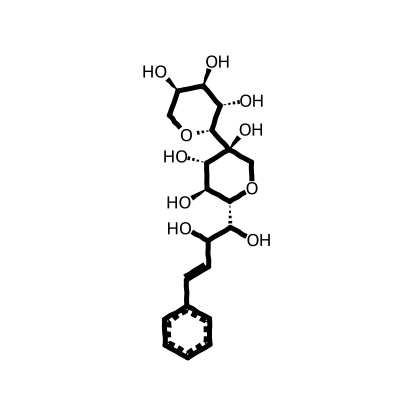 OC(C=Cc1ccccc1)C(O)[C@H]1OC[C@@](O)([C@@H]2OC[C@@H](O)[C@@H](O)[C@@H]2O)[C@@H](O)[C@@H]1O